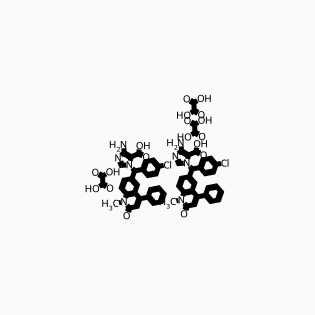 Cn1c(=O)cc(-c2ccccc2)c2cc(C(c3ccc(Cl)cc3)n3cnc(N)c3C(=O)O)ccc21.Cn1c(=O)cc(-c2ccccc2)c2cc(C(c3ccc(Cl)cc3)n3cnc(N)c3C(=O)O)ccc21.O=C(O)C(=O)O.O=C(O)C(=O)O.O=C(O)C(=O)O